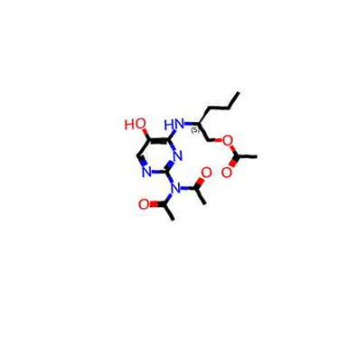 CCC[C@@H](COC(C)=O)Nc1nc(N(C(C)=O)C(C)=O)ncc1O